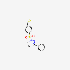 O=S(=O)(c1ccc(C=S)cc1)N1CCCC(c2ccccc2)=N1